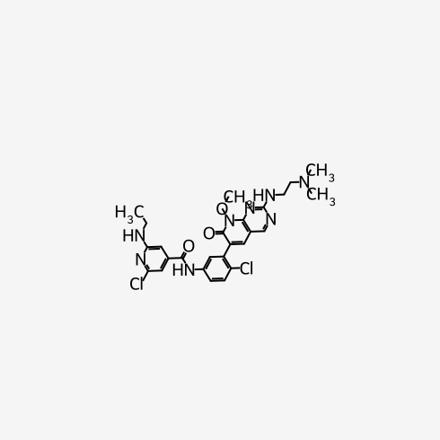 CCNc1cc(C(=O)Nc2ccc(Cl)c(-c3cc4cnc(NCCN(C)C)nc4n(OC)c3=O)c2)cc(Cl)n1